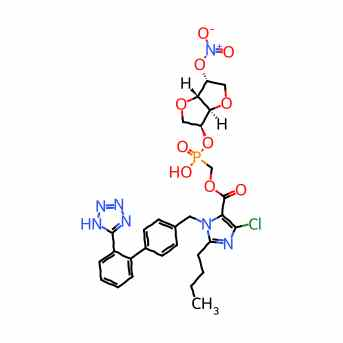 CCCCc1nc(Cl)c(C(=O)OCP(=O)(O)O[C@H]2CO[C@H]3[C@H]2OC[C@H]3O[N+](=O)[O-])n1Cc1ccc(-c2ccccc2-c2nnn[nH]2)cc1